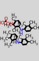 Cc1ccc(Nc2ccc(C)c(C)c2C)c(C)c1C.Cc1ccc(Nc2ccc(C)c(C)c2C)c(C)c1C.O=C(O)O